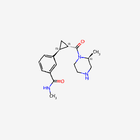 CNC(=O)c1cccc([C@H]2C[C@@H]2C(=O)N2CCNC[C@@H]2C)c1